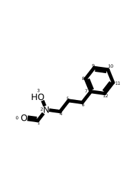 O=CN(O)CCCc1ccccc1